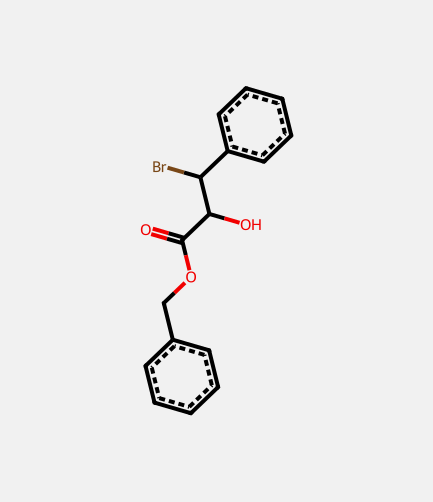 O=C(OCc1ccccc1)C(O)C(Br)c1ccccc1